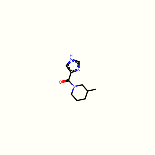 CC1CCCN(C(=O)c2c[nH]cn2)C1